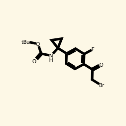 CC(C)(C)OC(=O)NC1(c2ccc(C(=O)CBr)c(F)c2)CC1